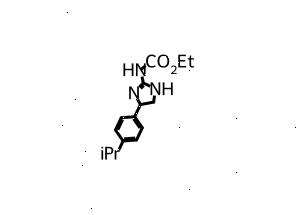 CCOC(=O)NC1=NC(c2ccc(C(C)C)cc2)CN1